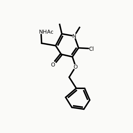 CC(=O)NCc1c(C)n(C)c(Cl)c(OCc2ccccc2)c1=O